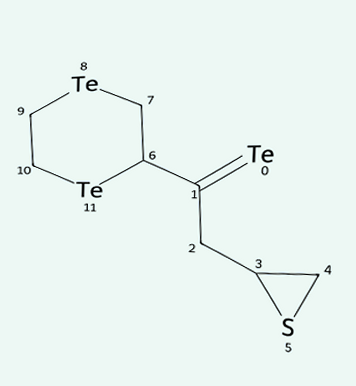 [Te]=C(CC1CS1)C1C[Te]CC[Te]1